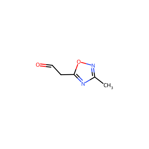 Cc1noc(CC=O)n1